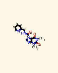 Cn1c(=O)c2c(ncn2C(=O)NCc2ccccn2)n(C)c1=O